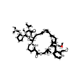 CCn1c(-c2cccnc2[C@H](C)OC)c2c3cc(ccc31)-c1csc(n1)C[C@H](NC(=O)[C@H](C(C)C)N(C)C(=O)N1CCC[C@@H]1CN(C)C)C(=O)N1CCC[C@](C=O)(COCC(C)(C)C2)N1